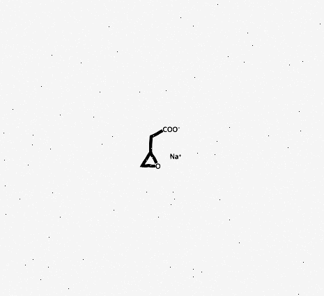 O=C([O-])CC1CO1.[Na+]